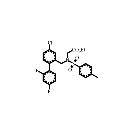 CCOC(=O)CN(Cc1cc(Cl)ccc1-c1ccc(F)cc1F)S(=O)(=O)c1ccc(C)cc1